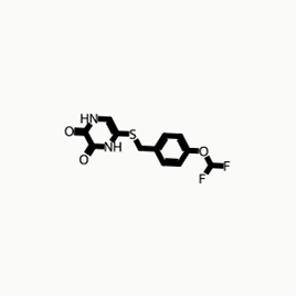 O=c1[nH]cc(SCc2ccc(OC(F)F)cc2)[nH]c1=O